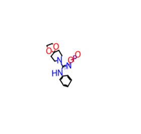 O=PO/N=C(/Nc1ccccc1)N1CCC2(CC1)OCCO2